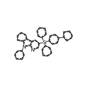 c1ccc(-c2ccc([Si](c3ccccc3)(c3ccccc3)c3cnc4c(c3)c3ccccc3n4-c3ccccc3)cc2)cc1